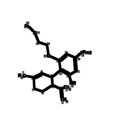 C=C(C)C1CCC(C)=CC1c1c(O)cc(CCCCC)cc1OCCOC(C)C